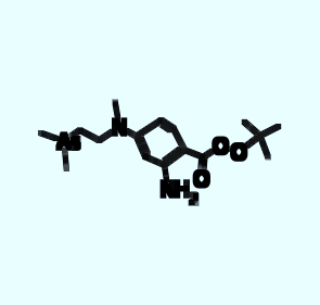 CN(CC[As](C)C)c1ccc(C(=O)OOC(C)(C)C)c(N)c1